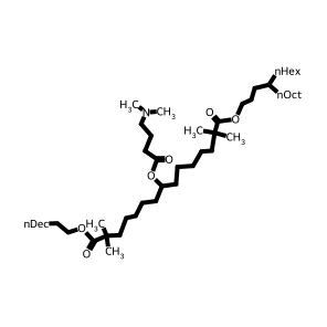 CCCCCCCCCCCCOC(=O)C(C)(C)CCCCCC(CCCCCC(C)(C)C(=O)OCCCC(CCCCCC)CCCCCCCC)OC(=O)CCCN(C)C